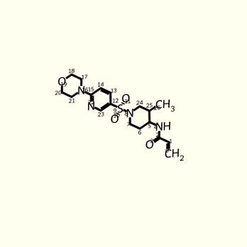 C=CC(=O)NC1CCN(S(=O)(=O)c2ccc(N3CCOCC3)nc2)CC1C